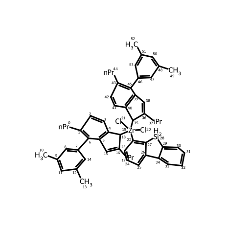 CCCc1ccc2c(c1-c1cc(C)cc(C)c1)C=C(C(C)C)[CH]2[Zr]([Cl])([Cl])([c]1cccc2c1[SiH2]c1ccccc1-2)[CH]1C(C(C)C)=Cc2c1ccc(CCC)c2-c1cc(C)cc(C)c1